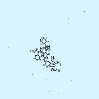 COC1OC(C)(C)c2cc(Nc3ncc(-c4nc(-c5cccnc5)no4)c(N[C@H](CO)c4ccccc4)n3)ccc21